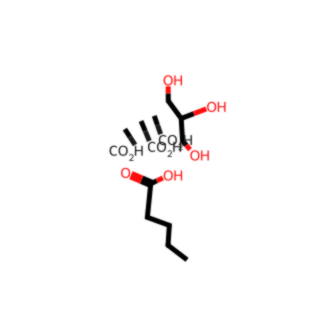 CC(=O)O.CC(=O)O.CC(=O)O.CCCCC(=O)O.OCC(O)CO